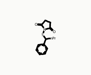 CCCC(SN1C(=O)CCC1=O)c1ccccc1